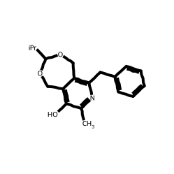 Cc1nc(Cc2ccccc2)c2c(c1O)COC(C(C)C)OC2